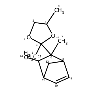 CC1COC(C)(C2(C)C3C=CC(C3)C2C)O1